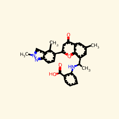 Cc1cc(C(C)Nc2ccccc2C(=O)O)c2oc(-c3ccc4nn(C)cc4c3C)cc(=O)c2c1